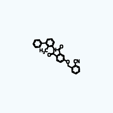 Cc1c(-c2ccccc2)cccc1N1C(=O)c2ccc(OCc3ccccc3C#N)cc2C1=O